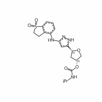 CC(C)NC(=O)O[C@H]1CO[C@H](c2cc(Nc3cccc4c3CCS4(=O)=O)n[nH]2)C1